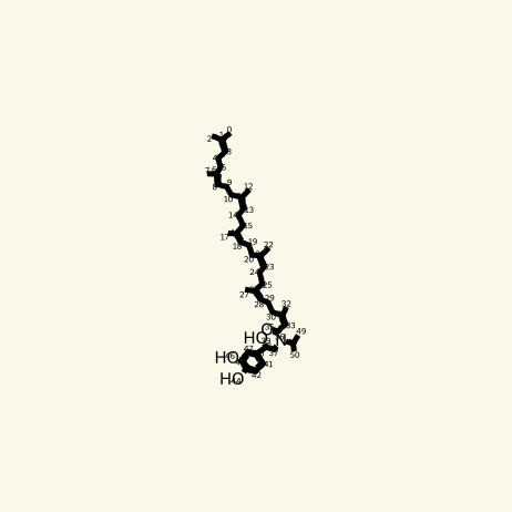 CC(C)=CCCC(C)=CCCC(C)=CCCC(C)=CCCC(C)=CCCC(C)=CCCC(C)=CC(=O)N(CC(O)c1ccc(O)c(O)c1)C(C)C